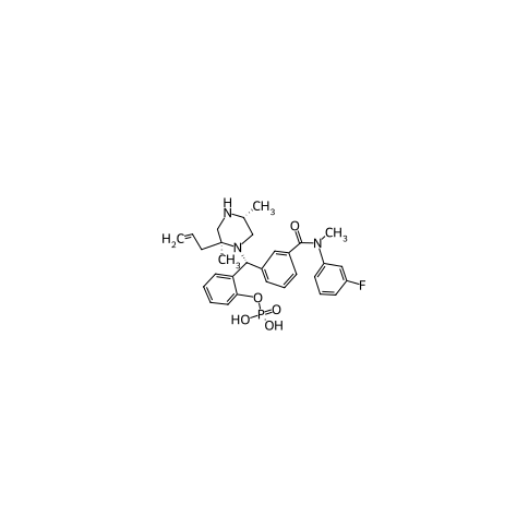 C=CC[C@@]1(C)CN[C@H](C)CN1[C@H](c1cccc(C(=O)N(C)c2cccc(F)c2)c1)c1ccccc1OP(=O)(O)O